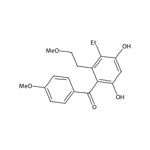 CCc1c(O)cc(O)c(C(=O)c2ccc(OC)cc2)c1CCOC